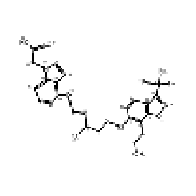 CCCc1c(OCCC(C)CCOc2cccc3c2ccn3CC(=O)O)ccc2c(C(F)(F)F)noc12